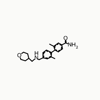 Cc1cc(CNCC2CCOCC2)ccc1-c1ccc(C(N)=O)cc1C